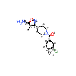 Cc1c(C2CCN(C(=O)c3ccc(C(F)(F)F)c(Cl)c3)CC2)noc1N